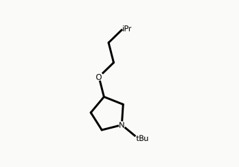 CC(C)CCOC1CCN(C(C)(C)C)C1